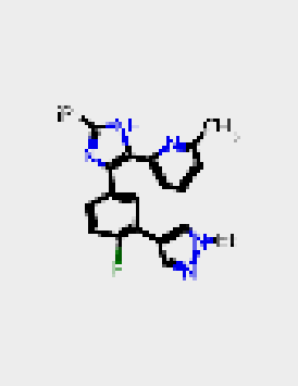 CCn1cc(-c2cc(-c3nc(C(C)C)[nH]c3-c3cccc(C)n3)ccc2F)cn1